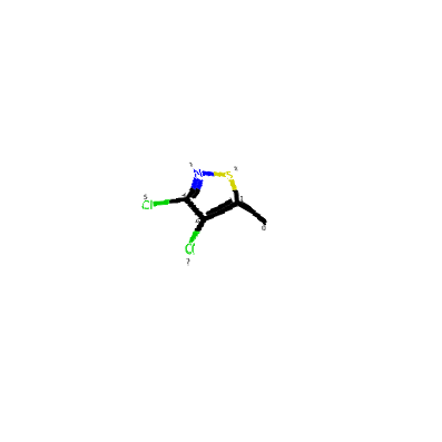 Cc1snc(Cl)c1Cl